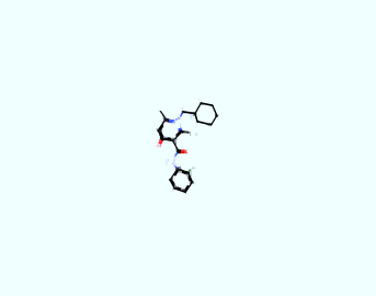 CCCCc1c(C(=O)Nc2ccccc2Cl)c(=O)cc(C)n1CC1CCCCC1